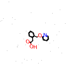 O=C(O)Cc1ccccc1COc1ccccn1